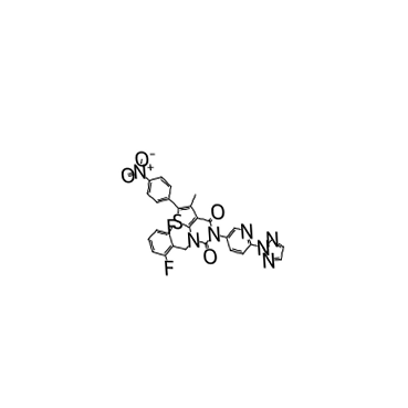 Cc1c(-c2ccc([N+](=O)[O-])cc2)sc2c1c(=O)n(-c1ccc(-n3nccn3)nc1)c(=O)n2Cc1c(F)cccc1F